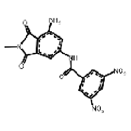 CN1C(=O)c2cc(NC(=O)c3cc([N+](=O)[O-])cc([N+](=O)[O-])c3)cc(N)c2C1=O